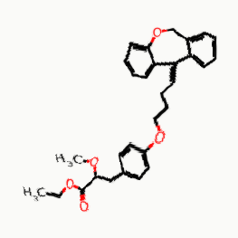 CCOC(=O)C(Cc1ccc(OCCC/C=C2/c3ccccc3COc3ccccc32)cc1)OC